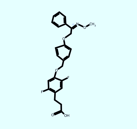 CO/N=C(\COc1ccc(COc2cc(F)c(CCC(=O)O)cc2F)cc1)c1ccccc1